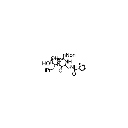 CCCCCCCCCC(=O)N[C@@H](CNC(=O)c1cccs1)C(=O)N[C@@H](CC(C)C)B(O)O